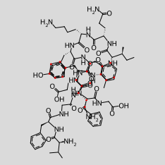 CC[C@H](C)[C@H](NC(=O)[C@@H](NC(=O)[C@H](Cc1ccc(O)cc1)NC(=O)[C@H](CC(N)=O)NC(=O)CNC(=O)[C@H](Cc1ccccc1)NC(=O)[C@@H](N)C(C)C)C(C)C)C(=O)N[C@@H](CCC(N)=O)C(=O)N[C@@H](CCCCN)C(=O)N[C@@H](Cc1ccccc1)C(=O)N[C@@H](Cc1ccccc1)C(=O)N[C@@H](CCC(=O)O)C(=O)N[C@@H](Cc1ccccc1)C(=O)NCC(=O)O